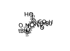 CCCCOC(=O)CN(CC(=O)O)c1cc(CO[Si](C)(C)C(C)(C)C)c([N+](=O)[O-])cc1OCCO